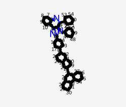 c1ccc(-c2nc3ccccc3c3nc(-c4ccc(-c5ccc6cc(-c7cc8ccccc8c8ccccc78)ccc6c5)cc4)n(-c4ccccc4)c23)cc1